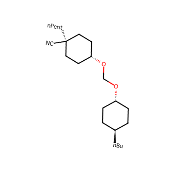 CCCCC[C@]1(C#N)CC[C@H](OCO[C@H]2CC[C@H](CCCC)CC2)CC1